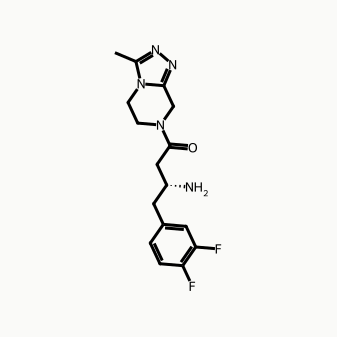 Cc1nnc2n1CCN(C(=O)C[C@H](N)Cc1ccc(F)c(F)c1)C2